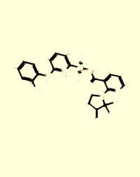 CC1CCN(c2ncccc2C(=O)NS(=O)(=O)c2cccc(Nc3ccccc3C(F)(F)F)n2)C1(C)C